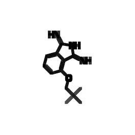 CC(C)(C)COc1cccc2c1C(=N)NC2=N